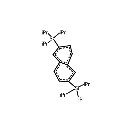 CC(C)[Si](c1ccc2cc([Si](C(C)C)(C(C)C)C(C)C)ccc2c1)(C(C)C)C(C)C